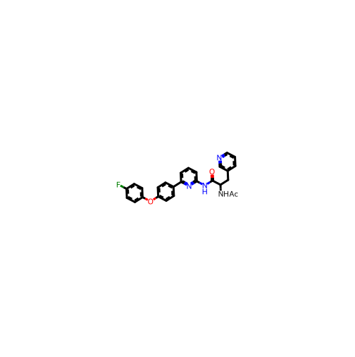 CC(=O)NC(Cc1cccnc1)C(=O)Nc1cccc(-c2ccc(Oc3ccc(F)cc3)cc2)n1